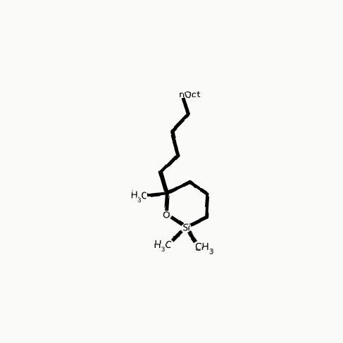 CCCCCCCCCCCCC1(C)CCC[Si](C)(C)O1